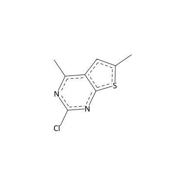 Cc1cc2c(C)nc(Cl)nc2s1